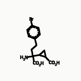 NC(CCc1ccc(Br)cc1)(C(=O)O)C1CC1C(=O)O